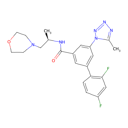 Cc1nnnn1-c1cc(C(=O)N[C@H](C)CN2CCOCC2)cc(-c2ccc(F)cc2F)c1